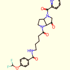 O=C(NCCCCC(=O)N1CCC2C1C(=O)CN2C(=O)c1ccccn1)c1ccc(OC(F)F)cc1